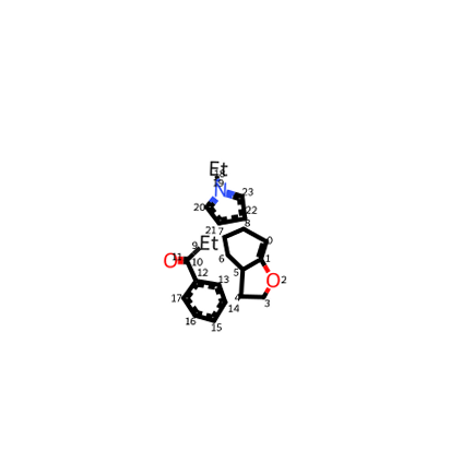 C1=C2OCCC2CCC1.CCC(=O)c1ccccc1.CCn1cccc1